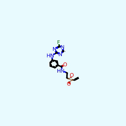 C=CS(=O)(=O)CCNC(=O)c1cccc(Nc2n[c]nc(F)n2)c1